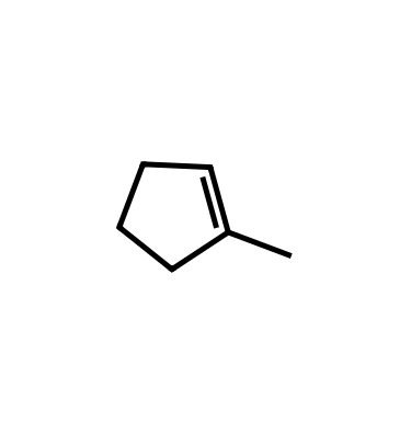 CC1=CCCC1